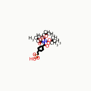 CC(C)(C)OC(=O)N(C(=O)OC(C)(C)C)N(C(=O)OC(C)(C)C)C(=O)c1ccc(CCS(=O)(=O)O)cc1